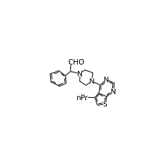 CCCc1csc2ncnc(N3CCN(C(C=O)c4ccccc4)CC3)c12